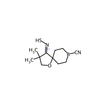 CC1(C)COC2(CCB(C#N)CC2)/C1=N/S